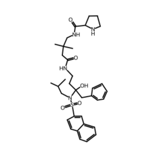 CC(C)CN(C(O)(CCNC(=O)CC(C)(C)CNC(=O)C1CCCN1)Cc1ccccc1)S(=O)(=O)c1ccc2ccccc2c1